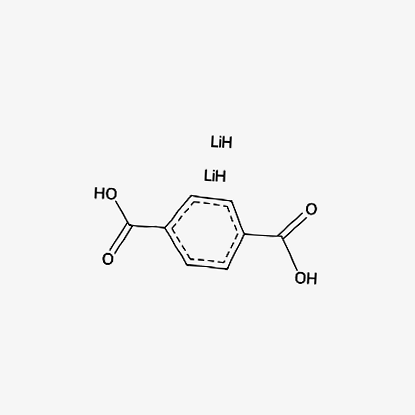 O=C(O)c1ccc(C(=O)O)cc1.[LiH].[LiH]